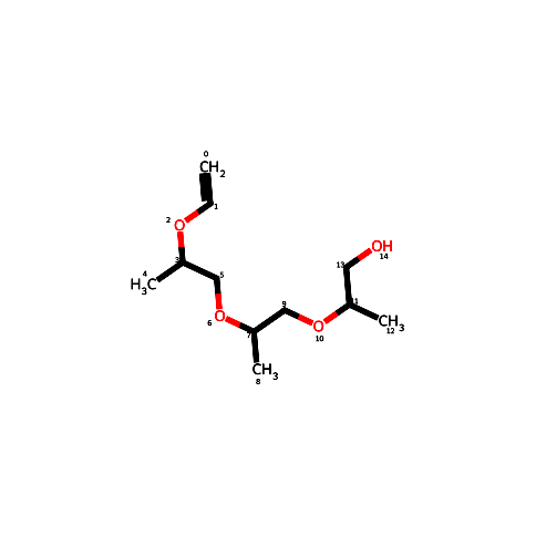 C=COC(C)COC(C)COC(C)CO